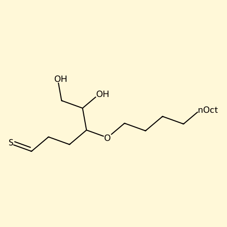 CCCCCCCCCCCCOC(CCC=S)C(O)CO